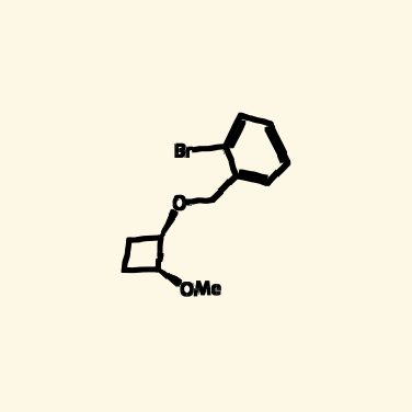 CO[C@H]1CC[C@H]1OCc1ccccc1Br